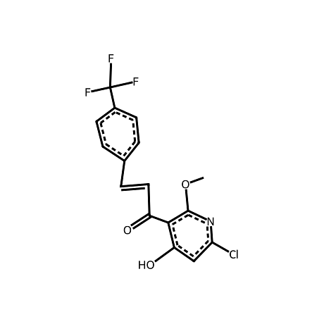 COc1nc(Cl)cc(O)c1C(=O)C=Cc1ccc(C(F)(F)F)cc1